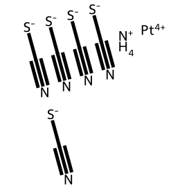 N#C[S-].N#C[S-].N#C[S-].N#C[S-].N#C[S-].[NH4+].[Pt+4]